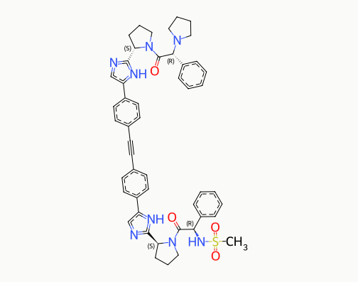 CS(=O)(=O)N[C@@H](C(=O)N1CCC[C@H]1c1ncc(-c2ccc(C#Cc3ccc(-c4cnc([C@@H]5CCCN5C(=O)[C@@H](c5ccccc5)N5CCCC5)[nH]4)cc3)cc2)[nH]1)c1ccccc1